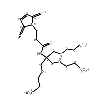 O=C(O)CCOCC(COCCC(=O)O)(COCCC(=O)O)NC(=O)CCN1C(=O)C=CC1=O